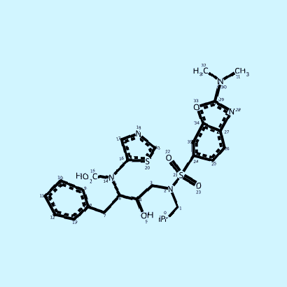 CC(C)CN(CC(O)C(Cc1ccccc1)N(C(=O)O)c1cncs1)S(=O)(=O)c1ccc2nc(N(C)C)oc2c1